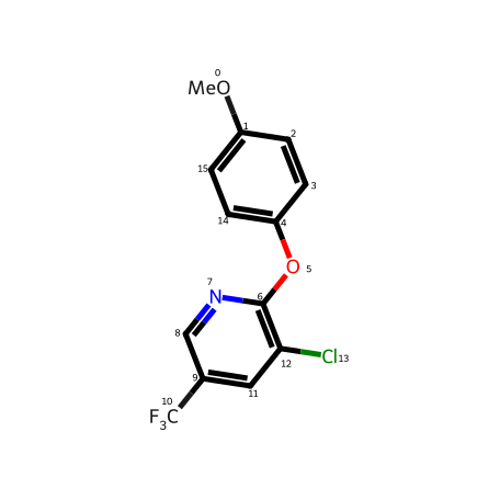 COc1ccc(Oc2ncc(C(F)(F)F)cc2Cl)cc1